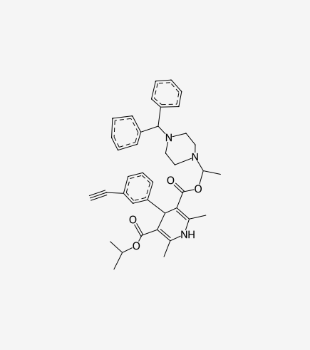 C#Cc1cccc(C2C(C(=O)OC(C)C)=C(C)NC(C)=C2C(=O)OC(C)N2CCN(C(c3ccccc3)c3ccccc3)CC2)c1